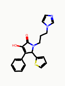 O=C1C(O)=C(c2ccccc2)C(c2cccs2)N1CCCn1ccnc1